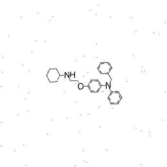 c1ccc(CN(c2ccccc2)c2ccc(OCCNC3CCCCC3)cc2)cc1